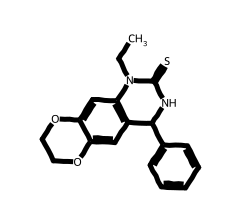 CCN1C(=S)NC(c2ccccc2)c2cc3c(cc21)OCCO3